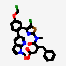 CN(C(=O)C(CC(=O)O)Cc1ccccc1)c1nc(-c2cc(OCF)ccc2-c2cnc3c(ccn3C)c2)c(F)s1